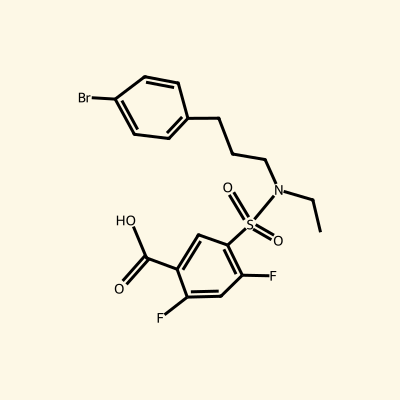 CCN(CCCc1ccc(Br)cc1)S(=O)(=O)c1cc(C(=O)O)c(F)cc1F